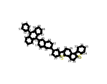 c1ccc(-c2c3ccccc3c(-c3ccc4cc(-c5ccc6sc7c(ccc8c7ccc7sc9ccccc9c78)c6c5)ccc4c3)c3ccccc23)cc1